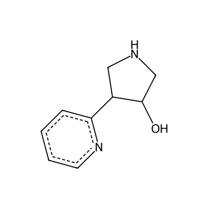 OC1CNCC1c1ccccn1